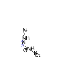 CCN(C)CCCNC(=O)C/C=C\N=C\NCCCN(C)C